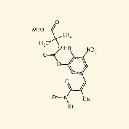 CCN(CC)C(=O)C(C#N)=Cc1cc(OC(=O)OC(C)(C)C(=O)OC)c(O)c([N+](=O)[O-])c1